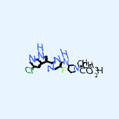 CC(C)(C(=O)O)N1CCCC(Nc2nc(-c3c[nH]c4ncc(Cl)cc34)ncc2F)C1